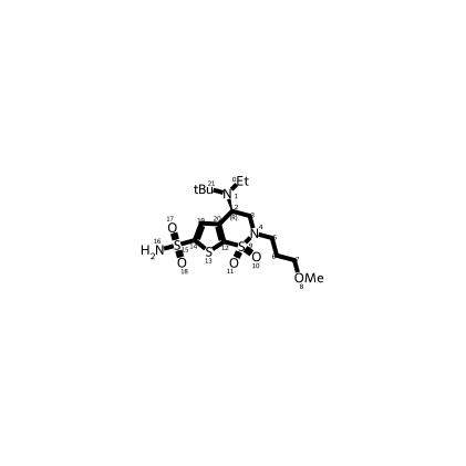 CCN([C@H]1CN(CCCOC)S(=O)(=O)c2sc(S(N)(=O)=O)cc21)C(C)(C)C